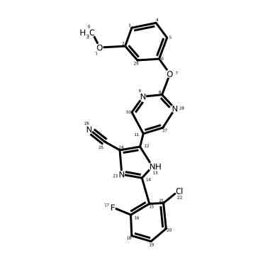 COc1cccc(Oc2ncc(-c3[nH]c(-c4c(F)cccc4Cl)nc3C#N)cn2)c1